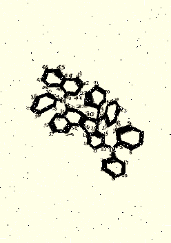 c1ccc(N(c2ccccc2)c2ccc3c(c2)C(c2ccccc2)(c2ccccc2)c2cc(N(c4ccccc4)c4cccc5ccccc45)c4ccccc4c2-3)cc1